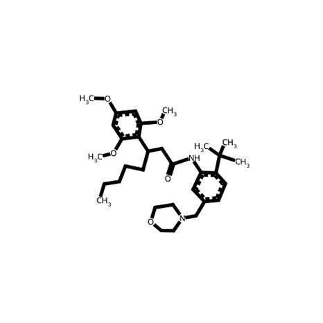 CCCCCC(CC(=O)Nc1cc(CN2CCOCC2)ccc1C(C)(C)C)c1c(OC)cc(OC)cc1OC